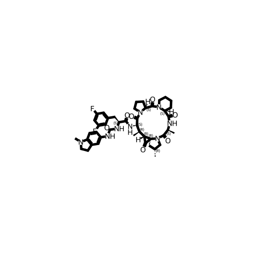 C[C@H]1CN2C(=O)[C@H](C)NC(=O)[C@@H]3CCCCN3C(=O)[C@@H]3CCCN3C(=O)[C@@H](NC(=O)[C@H](Cc3cc(F)cc(F)c3)NC(=O)Nc3ccc4c(c3)CCN4C)[C@H](C)[C@H]3C(=O)[C@@]32C1